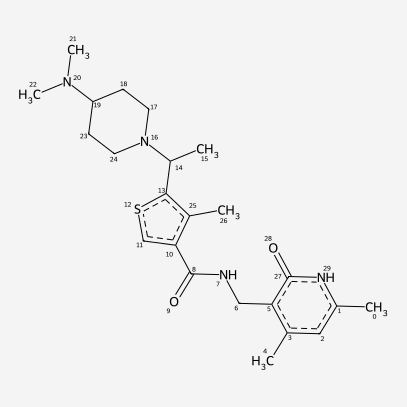 Cc1cc(C)c(CNC(=O)c2csc(C(C)N3CCC(N(C)C)CC3)c2C)c(=O)[nH]1